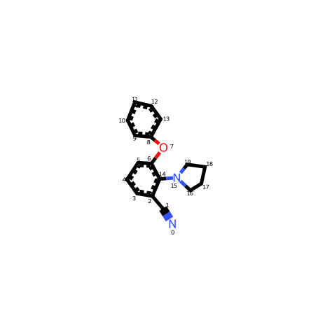 N#Cc1cccc(Oc2ccccc2)c1N1CCCC1